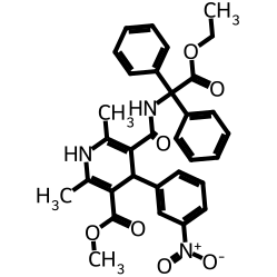 CCOC(=O)C(NC(=O)C1=C(C)NC(C)=C(C(=O)OC)C1c1cccc([N+](=O)[O-])c1)(c1ccccc1)c1ccccc1